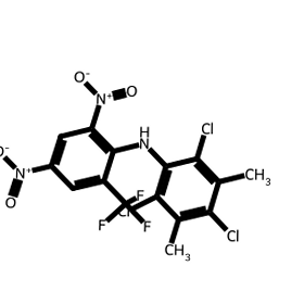 Cc1c(Cl)c(C)c(Cl)c(Nc2c([N+](=O)[O-])cc([N+](=O)[O-])cc2C(F)(F)F)c1Cl